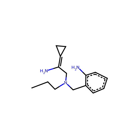 CCCN(CC(N)=C1CC1)Cc1ccccc1N